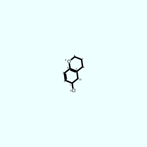 ClC1C=CC2=C(CCCO2)C1